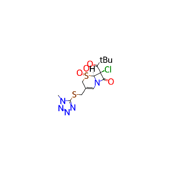 Cn1nnnc1SCC1=CN2C(=O)[C@@](Cl)(C(=O)C(C)(C)C)[C@@H]2S(=O)(=O)C1